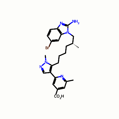 Cc1cc(C(=O)O)cc(-c2cnn(C)c2CCCC[C@@H](C)Cn2c(N)nc3ccc(Br)cc32)n1